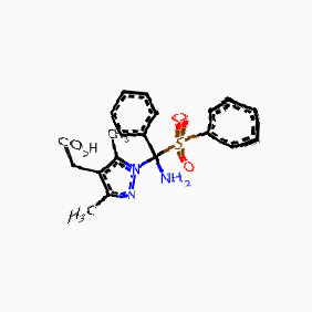 Cc1nn(C(N)(c2ccccc2)S(=O)(=O)c2ccccc2)c(C)c1CC(=O)O